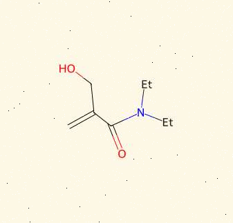 C=C(CO)C(=O)N(CC)CC